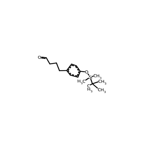 CC(C)(C)[Si](C)(C)Oc1ccc(CCCC=O)cc1